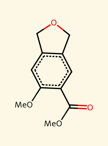 COC(=O)c1cc2c(cc1OC)COC2